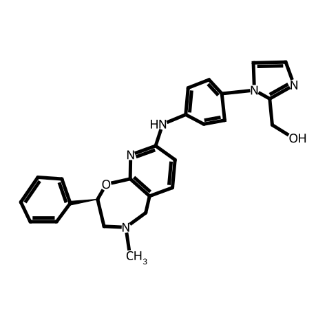 CN1Cc2ccc(Nc3ccc(-n4ccnc4CO)cc3)nc2O[C@H](c2ccccc2)C1